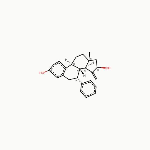 C=C1[C@H](O)C[C@@]2(C)CC[C@@H]3c4ccc(O)cc4C[C@@H](c4ccccc4)[C@H]3[C@H]12